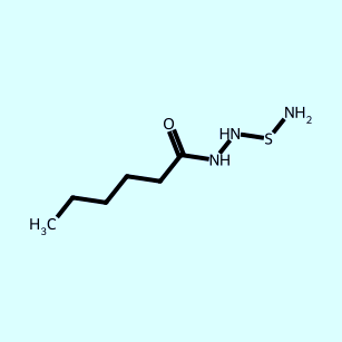 CCCCCC(=O)NNSN